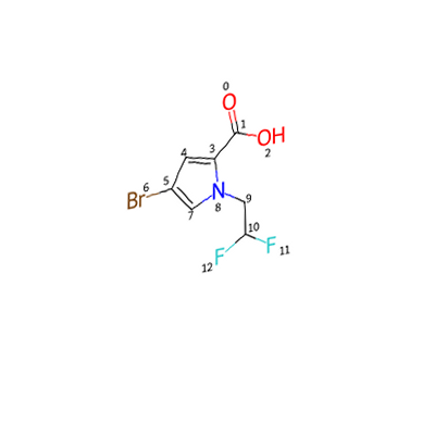 O=C(O)c1cc(Br)cn1CC(F)F